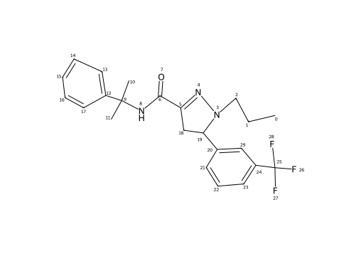 CCCN1N=C(C(=O)NC(C)(C)c2ccccc2)CC1c1cccc(C(F)(F)F)c1